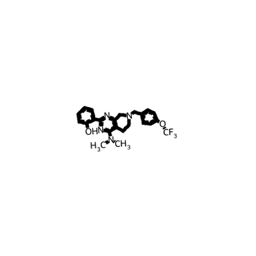 CN(C)c1nc(-c2ccccc2O)nc2c1CCN(Cc1ccc(OC(F)(F)F)cc1)C2